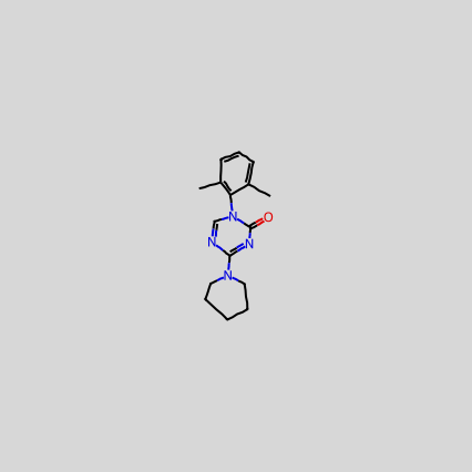 Cc1cccc(C)c1-n1cnc(N2CCCCC2)nc1=O